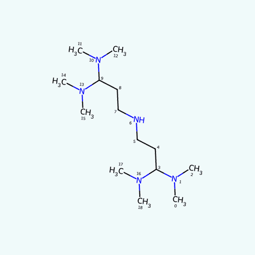 CN(C)C(CCNCCC(N(C)C)N(C)C)N(C)C